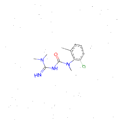 Cc1cccc(Cl)c1N(C)C(=O)NC(=N)N(C)C